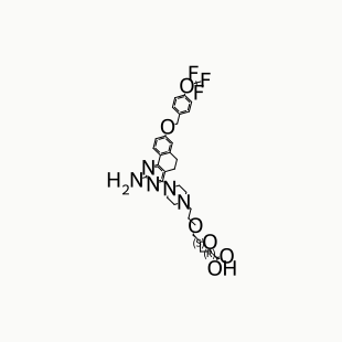 Nc1nc2c(c(N3CCN(CCOC[C@@H]4C[C@H](C(=O)O)O4)CC3)n1)CCc1cc(OCc3ccc(OC(F)(F)F)cc3)ccc1-2